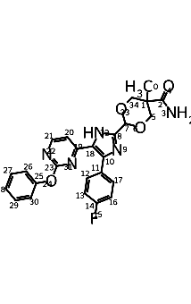 CC1(C(N)=O)COC(c2nc(-c3ccc(F)cc3)c(-c3ccnc(Oc4ccccc4)n3)[nH]2)OC1